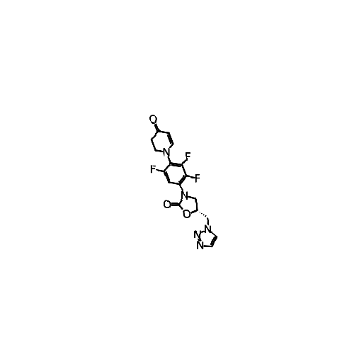 O=C1C=CN(c2c(F)cc(N3C[C@H](Cn4ccnn4)OC3=O)c(F)c2F)CC1